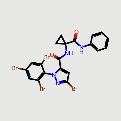 O=C(NC1(C(=O)Nc2ccccc2)CC1)c1cc(Br)nn1-c1c(Br)cc(Br)cc1Br